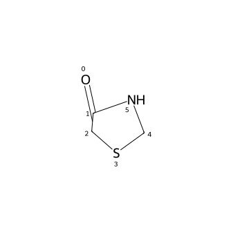 O=C1CSCN1